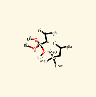 CCCCC(CC)C[Si](OC)(OC)OC.CCCCC(CC)C[Si](OCC)(OCC)OCC